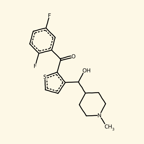 CN1CCC(C(O)c2ccsc2C(=O)c2cc(F)ccc2F)CC1